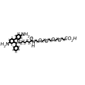 Nc1ccc2c(c1)c(-c1ccccc1)[n+](CCCCCC(=O)NCCOCCOCCOCCOCCC(=O)O)c1cc(N)ccc21